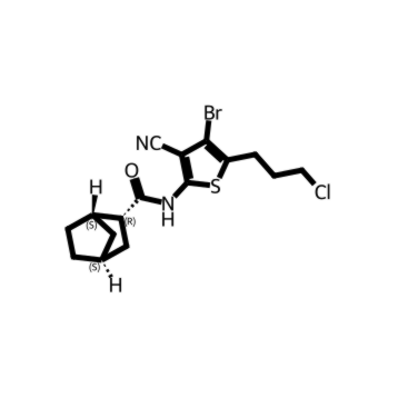 N#Cc1c(NC(=O)[C@@H]2C[C@H]3CC[C@H]2C3)sc(CCCCl)c1Br